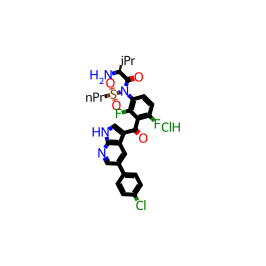 CCCS(=O)(=O)N(C(=O)[C@@H](N)C(C)C)c1ccc(F)c(C(=O)c2c[nH]c3ncc(-c4ccc(Cl)cc4)cc23)c1F.Cl